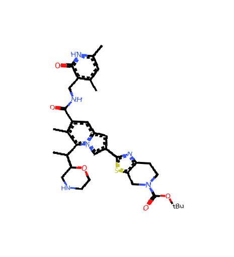 Cc1cc(C)c(CNC(=O)c2cc3cc(-c4nc5c(s4)CN(C(=O)OC(C)(C)C)CC5)cn3c(C(C)C3CNCCO3)c2C)c(=O)[nH]1